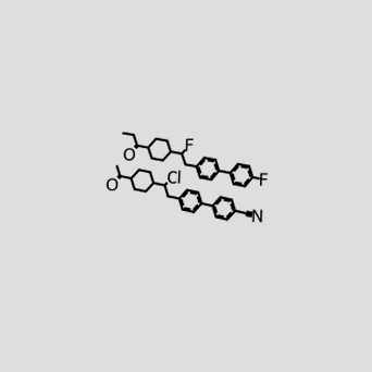 CC(=O)C1CCC(C(Cl)Cc2ccc(-c3ccc(C#N)cc3)cc2)CC1.CCC(=O)C1CCC(C(F)Cc2ccc(-c3ccc(F)cc3)cc2)CC1